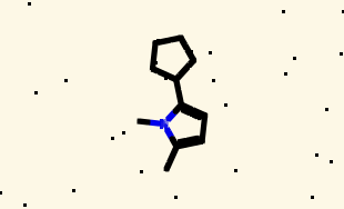 Cc1ccc(C2CCCC2)n1C